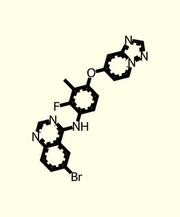 Cc1c(Oc2ccn3ncnc3c2)ccc(Nc2ncnc3ccc(Br)cc23)c1F